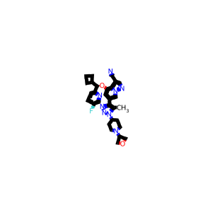 Cc1c(-c2cc(O[C@H](c3ccc(F)cn3)C3CCC3)c3c(C#N)cnn3c2)nnn1C1CCN(C2COC2)CC1